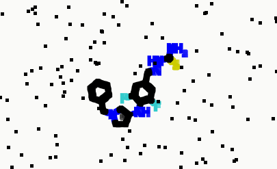 NC(=S)NN=Cc1cc(F)c(N[C@H]2CCN(Cc3ccccc3)C2)c(F)c1